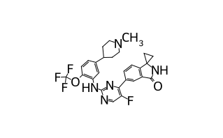 CN1CCC(c2ccc(OC(F)(F)F)c(Nc3ncc(F)c(-c4ccc5c(c4)C(=O)NC54CC4)n3)c2)CC1